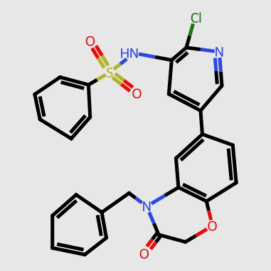 O=C1COc2ccc(-c3cnc(Cl)c(NS(=O)(=O)c4ccccc4)c3)cc2N1Cc1ccccc1